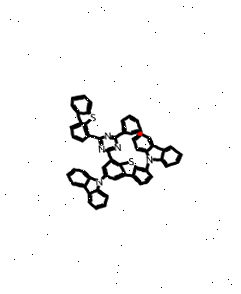 c1ccc(-c2nc(-c3cccc4c3sc3ccccc34)nc(-c3cc(-n4c5ccccc5c5ccccc54)cc4c3sc3c(-n5c6ccccc6c6ccccc65)cccc34)n2)cc1